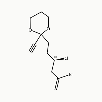 C#CC1(CC[C@@H](Cl)CC(=C)Br)OCCCO1